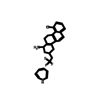 C1=CC=CNC=C1.NC1CC(CC(F)(F)F)CC2=C1CCc1c2ccc2cccc(Cl)c12